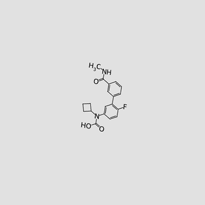 CNC(=O)c1cccc(-c2cc(N(C(=O)O)C3CCC3)ccc2F)c1